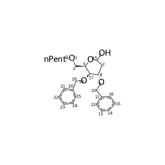 CCCCCOC[C@H]1OC(O)C[C@H](OCc2ccccc2)[C@H]1OCc1ccccc1